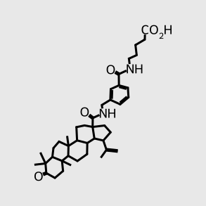 C=C(C)C1CCC2(C(=O)NCc3cccc(C(=O)NCCCCC(=O)O)c3)CCC3C(CCC4C3(C)CCC3C(C)(C)C(=O)CCC34C)C12